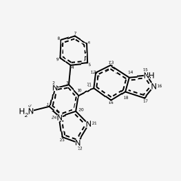 Nc1nc(-c2ccccc2)c(-c2ccc3[nH]ncc3c2)c2nncn12